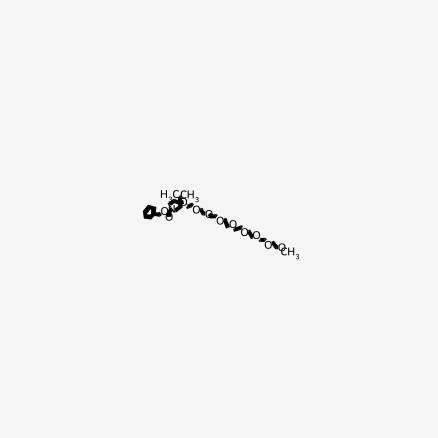 COCCOCCOCCOCCOCCOCCOCCOCCOC1(C(C)C)CCN(C(=O)OCc2ccccc2)CC1